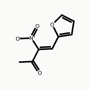 CC(=O)C(=Cc1ccco1)[N+](=O)[O-]